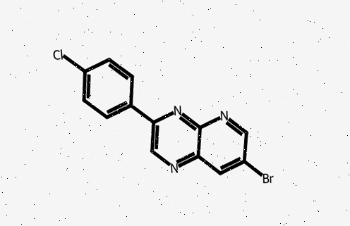 Clc1ccc(-c2cnc3cc(Br)cnc3n2)cc1